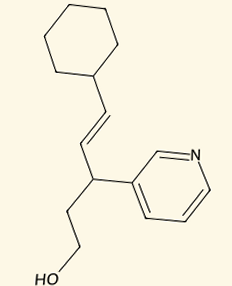 OCCC(C=CC1CCCCC1)c1cccnc1